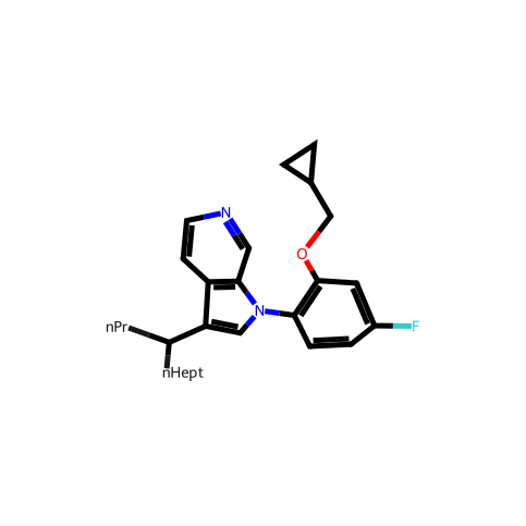 CCCCCCCC(CCC)c1cn(-c2ccc(F)cc2OCC2CC2)c2cnccc12